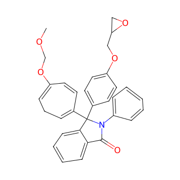 COCOC1=CCC=C(C2(c3ccc(OCC4CO4)cc3)c3ccccc3C(=O)N2c2ccccc2)C=C1